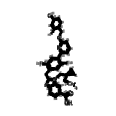 CCC1(Cn2c(Cc3cc(F)c(-c4cccc(OCc5ccc(Cl)cc5F)n4)cc3F)nc3ccc(C(=O)O)cc32)CC1